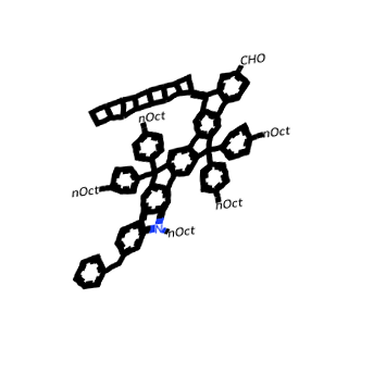 CCCCCCCCc1ccc(C2(c3ccc(CCCCCCCC)cc3)c3cc4c(cc3-c3cc5c(cc32)-c2cc3c(cc2C5(c2ccc(CCCCCCCC)cc2)c2ccc(CCCCCCCC)cc2)c2ccc(Cc5ccccc5)cc2n3CCCCCCCC)/C(=C2/CC3C2C2C3C3C5C6C7CCC7C6C5C23)c2cc(C=O)ccc2-4)cc1